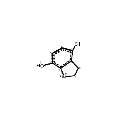 Oc1ccc(O)c2c1CCN2